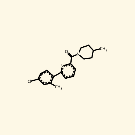 Cc1cc(Cl)ccc1-c1cccc(C(=O)N2CCC(C)CC2)n1